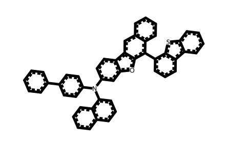 c1ccc(-c2ccc(N(c3ccc4c(c3)oc3c(-c5cccc6c5sc5ccccc56)c5ccccc5cc34)c3cccc4ccccc34)cc2)cc1